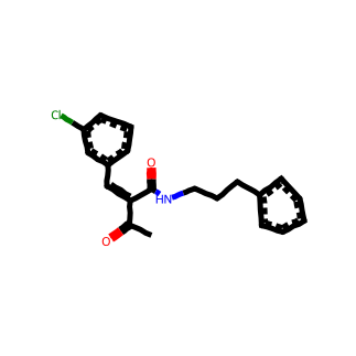 CC(=O)/C(=C/c1cccc(Cl)c1)C(=O)NCCCc1ccccc1